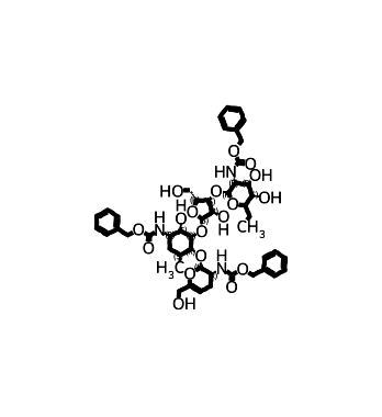 CCC1O[C@H](O[C@H]2[C@@H](O)[C@H](O[C@@H]3[C@@H](O)[C@H](NC(=O)OCc4ccccc4)C[C@H](C)[C@H]3O[C@H]3OC(CO)=CC[C@H]3NC(=O)OCc3ccccc3)O[C@@H]2CO)[C@H](NC(=O)OCc2ccccc2)[C@@H](O)[C@@H]1O